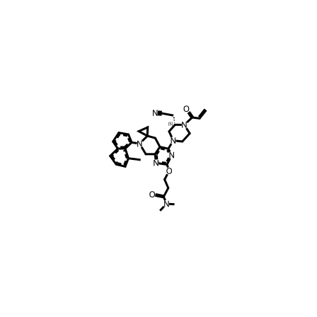 C=CC(=O)N1CCN(c2nc(OCCC(=O)N(C)C)nc3c2CC2(CC2)N(c2cccc4cccc(C)c24)C3)C[C@@H]1CC#N